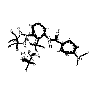 CN(C)c1ccc(C(=O)Nc2cccc(B3OC(C)(C)C(C)(C)O3)c2C(C)(C)O[SiH2]C(C)(C)C)cc1